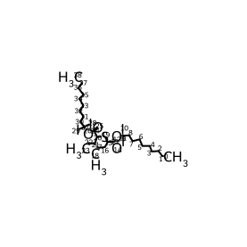 CCCCCCCCCC(I)(I)OC(=O)C(CCC)SC(CCC)C(=O)OC(I)(I)CCCCCCCCC